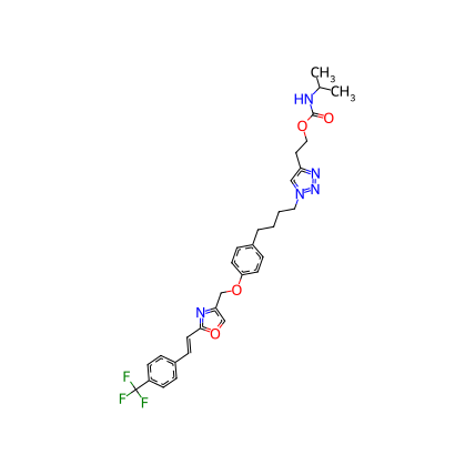 CC(C)NC(=O)OCCc1cn(CCCCc2ccc(OCc3coc(/C=C/c4ccc(C(F)(F)F)cc4)n3)cc2)nn1